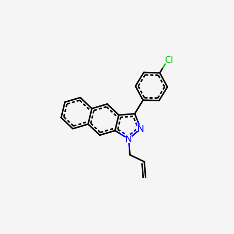 C=CCn1nc(-c2ccc(Cl)cc2)c2cc3ccccc3cc21